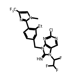 CCc1cc(Cn2c(=N)n(C(F)C(F)F)c3cnc(Cl)nc32)ccc1-c1nc(C(F)(F)F)cn1C